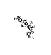 Cc1c(-c2cc3ccc(-c4ccc5[nH]ncc5c4)nc3n2CC2CC2)nn2cc(C(=O)N3CCCC(N)C3)cc(Cl)c12